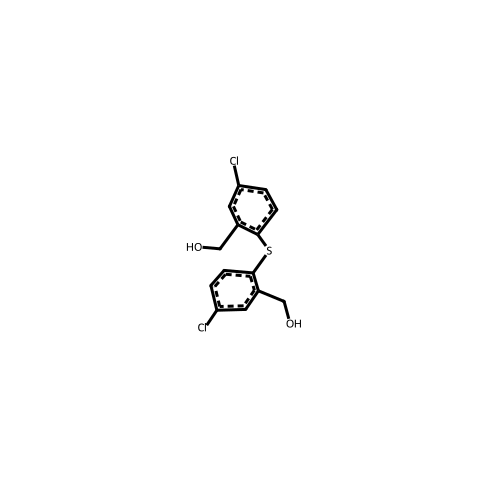 OCc1cc(Cl)ccc1Sc1ccc(Cl)cc1CO